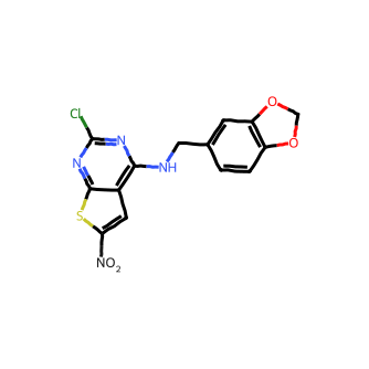 O=[N+]([O-])c1cc2c(NCc3ccc4c(c3)OCO4)nc(Cl)nc2s1